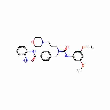 COc1cc(NC(=O)N(CCCN2CCOCC2)Cc2ccc(C(=O)Nc3ccccc3N)cc2)cc(OC)c1